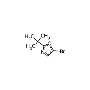 CC(C)(C)c1ncc(Br)o1